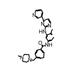 C=C(C)/C(=C\C(=C/C)NC(=O)C1=CCC=C(CN2CCN(C)CC2)C=C1)Nc1nccc(-c2cccnc2)n1